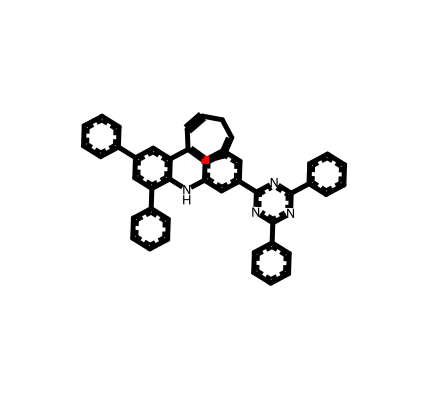 C1#CC(c2cc(-c3ccccc3)cc(-c3ccccc3)c2Nc2cccc(-c3nc(-c4ccccc4)nc(-c4ccccc4)n3)c2)=CC=CC1